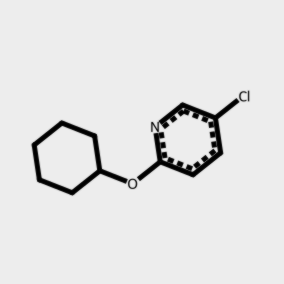 Clc1ccc(OC2CCCCC2)nc1